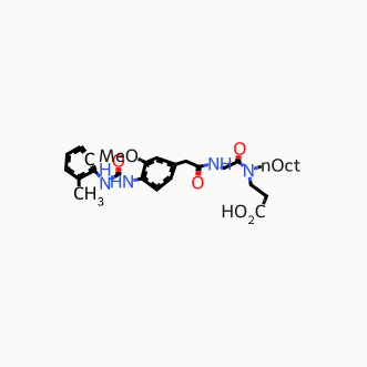 CCCCCCCCN(CCC(=O)O)C(=O)CNC(=O)Cc1ccc(NC(=O)Nc2ccccc2C)c(OC)c1